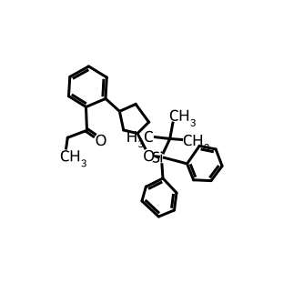 CCC(=O)c1ccccc1C1CCC(O[Si](c2ccccc2)(c2ccccc2)C(C)(C)C)C1